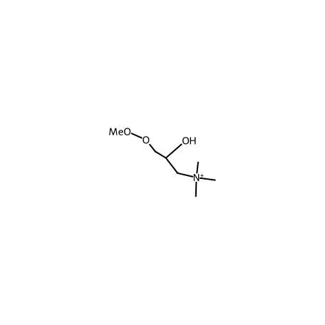 COOCC(O)C[N+](C)(C)C